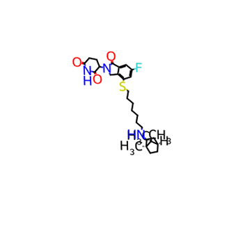 CC1(C)[C@@H]2CC[C@@]1(C)[C@@H](NCCCCCCCSc1cc(F)cc3c1CN(C1CCC(=O)NC1=O)C3=O)C2